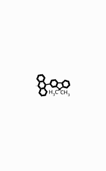 CC1(C)c2ccccc2-c2ccc(-c3c4ccccc4[c]c4ccccc34)cc21